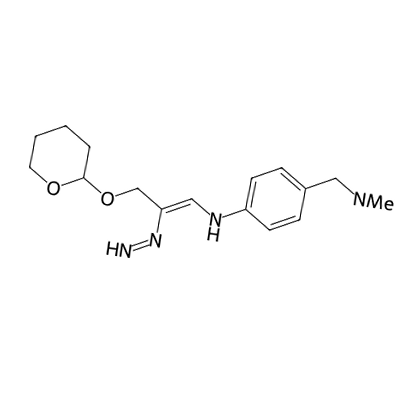 CNCc1ccc(N/C=C(/COC2CCCCO2)N=N)cc1